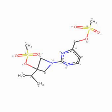 CC(C)C1(OS(C)(=O)=O)CN(c2nccc(COS(C)(=O)=O)n2)C1